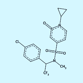 CN(C(c1ccc(Cl)cc1)C(F)(F)F)S(=O)(=O)c1ccn(C2CC2)c(=O)c1